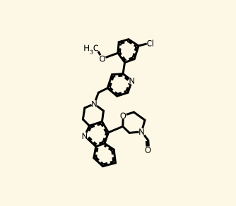 COc1ccc(Cl)cc1-c1cc(CN2CCc3nc4ccccc4c(C4CN(C=O)CCO4)c3C2)ccn1